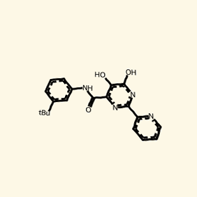 CC(C)(C)c1cccc(NC(=O)c2nc(-c3ccccn3)nc(O)c2O)c1